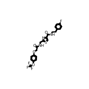 O=C(COc1ccc(OC(F)(F)F)cc1)NCc1nc(C(=O)NCCc2ccc(F)cc2)cs1